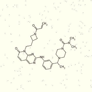 C=CC(=O)N1CC(CCn2c(=O)ccc3cnc(Nc4cccc(C(C)N5CCN(C(=O)N(C)C)CC5)c4)nc32)C1